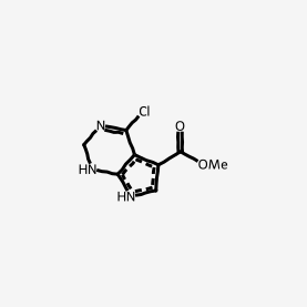 COC(=O)c1c[nH]c2c1C(Cl)=NCN2